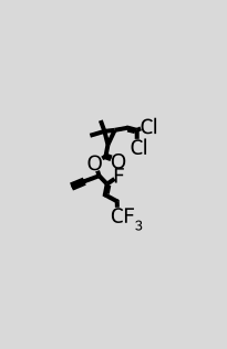 C#CC(OC(=O)C1C(C=C(Cl)Cl)C1(C)C)/C(F)=C/CC(F)(F)F